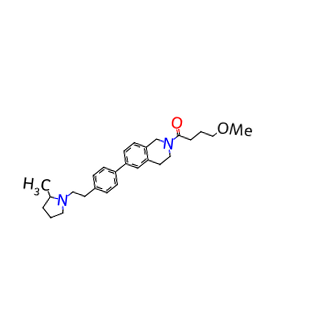 COCCCC(=O)N1CCc2cc(-c3ccc(CCN4CCCC4C)cc3)ccc2C1